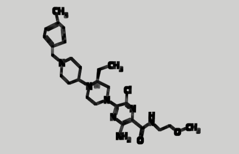 CC[C@H]1CN(c2nc(N)c(C(=O)NCCOC)nc2Cl)CCN1C1CCN(Cc2ccc(C)cc2)CC1